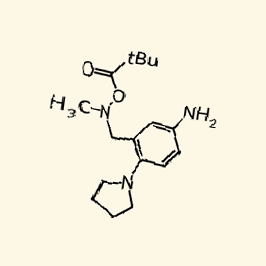 CN(Cc1cc(N)ccc1N1CCCC1)OC(=O)C(C)(C)C